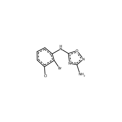 Nc1noc(Nc2cccc(Cl)c2Br)n1